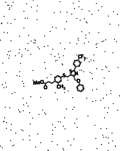 COC(=O)CCc1ccc(SCc2sc(-c3ccc(C(F)(F)F)cc3)nc2COc2ccccc2)cc1C